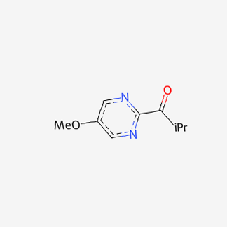 COc1cnc(C(=O)C(C)C)nc1